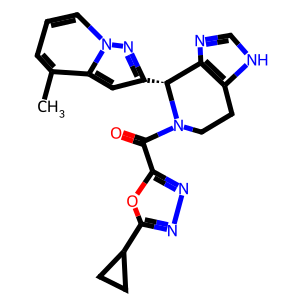 Cc1cccn2nc([C@@H]3c4nc[nH]c4CCN3C(=O)c3nnc(C4CC4)o3)cc12